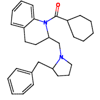 O=C(C1CCCCC1)N1c2ccccc2CCC1CN1CCCC1Cc1ccccc1